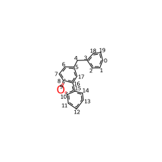 c1ccc(Cc2ccc3oc4ccccc4c3c2)cc1